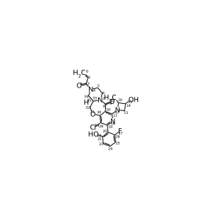 C=CC(=O)N1CCN2C(=O)c3c(N4CC(O)C4C)nc(-c4c(O)cccc4F)c(Cl)c3OC[C@H]2C1